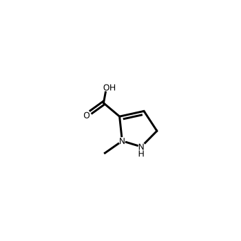 CN1NCC=C1C(=O)O